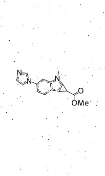 COC(=O)C1c2c1n(C)c1cc(-n3ccnc3)ccc21